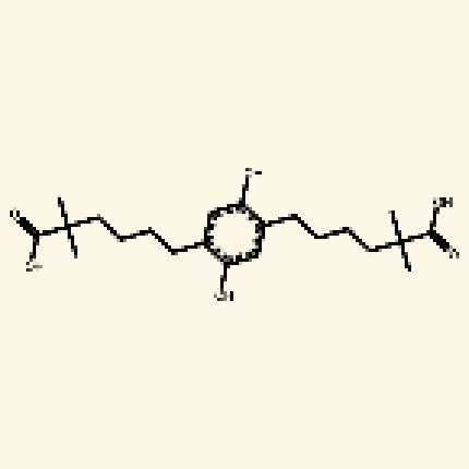 CC(C)(CCCCc1cc(O)c(CCCCC(C)(C)C(=O)O)cc1O)C(=O)O